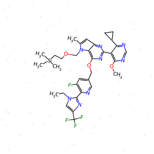 CCn1cc(C(F)(F)F)nc1-c1ncc(COc2nc(-c3c(OC)ncnc3C3CC3)nc3cc(C)n(COCC[Si](C)(C)C)c23)cc1F